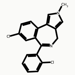 Cn1cc2c(c1)-c1ccc(Cl)cc1C(c1ccccc1Cl)=NC2